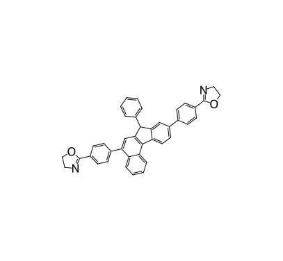 c1ccc(C2c3cc(-c4ccc(C5=NCCO5)cc4)ccc3-c3c2cc(-c2ccc(C4=NCCO4)cc2)c2ccccc32)cc1